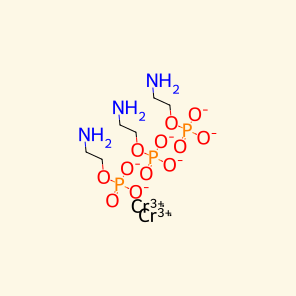 NCCOP(=O)([O-])[O-].NCCOP(=O)([O-])[O-].NCCOP(=O)([O-])[O-].[Cr+3].[Cr+3]